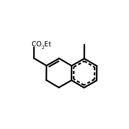 CCOC(=O)CC1=Cc2c(C)cccc2CC1